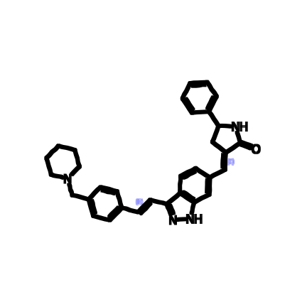 O=C1NC(c2ccccc2)C/C1=C\c1ccc2c(/C=C/c3ccc(CN4CCCCC4)cc3)n[nH]c2c1